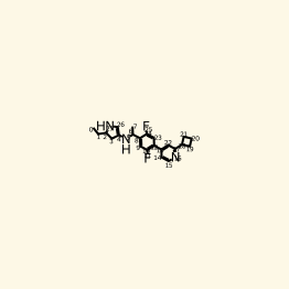 CCC1CC(NC(C)c2cc(F)c(-c3ccnc(C4CCC4)c3)cc2F)=CN1